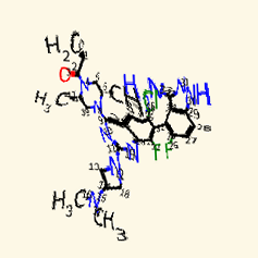 C=CC(=O)N1C[C@H](C)N(c2nc(N3CC(N(C)C)C3)nc3c(F)c(-c4c(F)ccc5[nH]nc(N)c45)c(Cl)cc23)C[C@H]1C